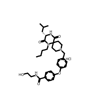 CCCCN1C(=O)[C@H](CC(C)C)NC(=O)C12CCN(Cc1ccc(Oc3ccc(C(=O)NCCO)cc3)cc1)CC2.Cl